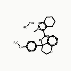 Cn1nc2c(c1C(=O)NC1(c3ccc(OC(F)(F)F)cc3)CCOc3cccnc31)CCCC2.O=CO